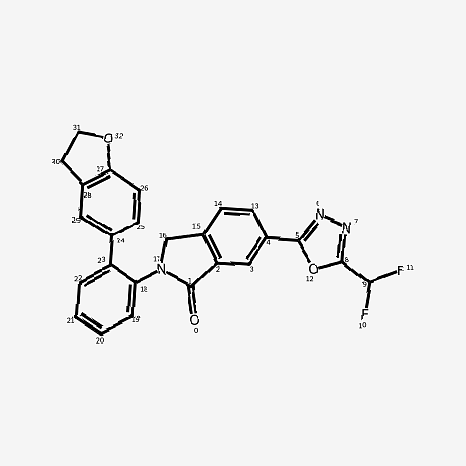 O=C1c2cc(-c3nnc(C(F)F)o3)ccc2CN1c1ccccc1-c1ccc2c(c1)CCO2